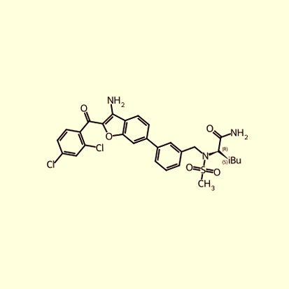 CC[C@H](C)[C@H](C(N)=O)N(Cc1cccc(-c2ccc3c(N)c(C(=O)c4ccc(Cl)cc4Cl)oc3c2)c1)S(C)(=O)=O